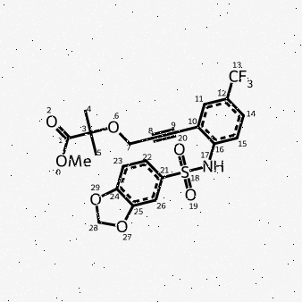 COC(=O)C(C)(C)OCC#Cc1cc(C(F)(F)F)ccc1NS(=O)(=O)c1ccc2c(c1)OCO2